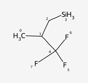 CC(C[SiH3])C(F)(F)F